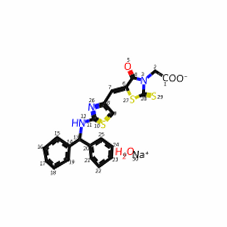 O.O=C([O-])CN1C(=O)C(=Cc2csc(NC(c3ccccc3)c3ccccc3)n2)SC1=S.[Na+]